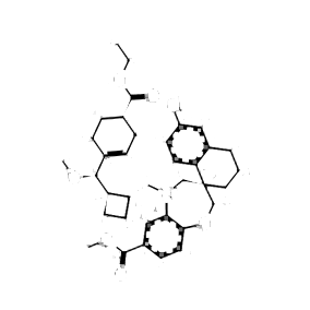 CCOC(=O)[C@H]1CC=C([C@H](OC)[C@@H]2CC[C@H]2CN2C[C@@]3(CCCc4cc(Cl)ccc43)COc3ccc(C(=O)OC)cc32)CC1